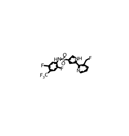 O=S(=O)(Nc1cc(F)c(C(F)(F)F)cc1F)c1c[nH]c(-c2ncccc2CF)c1